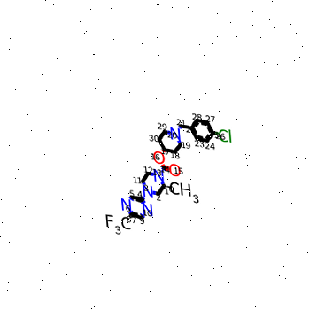 C[C@@H]1CN(c2cnc(C(F)(F)F)cn2)CCN1C(=O)OC1CCN(Cc2ccc(Cl)cc2)CC1